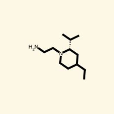 CCC1CCN(CCN)[C@H](C(C)C)C1